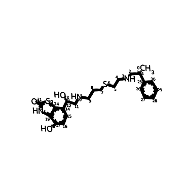 C[C@@H](CNCCSCCCNC[C@H](O)c1ccc(O)c2[nH]c(=O)sc12)c1ccccc1